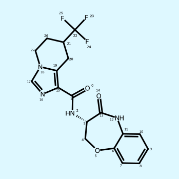 O=C(N[C@H]1COc2ccccc2NC1=O)c1ncn2c1CC(C(F)(F)F)CC2